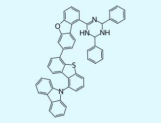 c1ccc(C2N=C(c3cccc4oc5cc(-c6cccc7c6sc6cccc(-n8c9ccccc9c9ccccc98)c67)ccc5c34)NC(c3ccccc3)N2)cc1